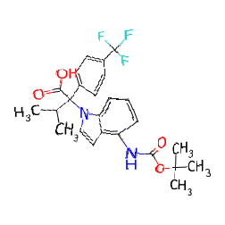 CC(C)C(C(=O)O)(c1ccc(C(F)(F)F)cc1)n1ccc2c(NC(=O)OC(C)(C)C)cccc21